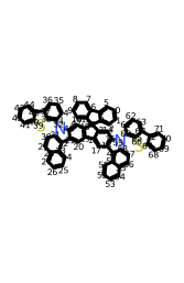 c1ccc2c(c1)-c1ccccc1C21c2cc3c(cc2-c2cc4c5c6ccccc6ccc5n(-c5cccc6c5sc5ccccc56)c4cc21)c1c2ccccc2ccc1n3-c1cccc2c1sc1ccccc12